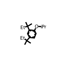 [CH2]C(C)Oc1ccc(C(C)(C)CC)cc1C(C)(C)CC